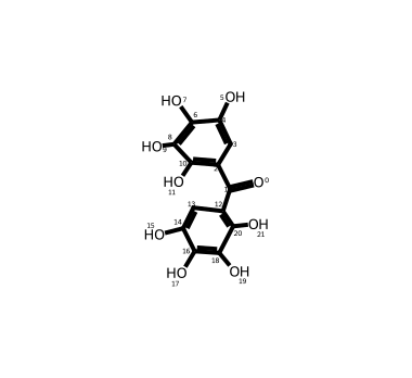 O=C(c1cc(O)c(O)c(O)c1O)c1cc(O)c(O)c(O)c1O